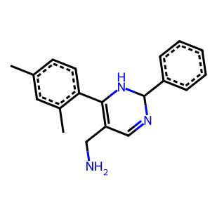 Cc1ccc(C2=C(CN)C=NC(c3ccccc3)N2)c(C)c1